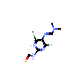 CN(C)/C=N/c1c(Cl)nc(NC=O)nc1Cl